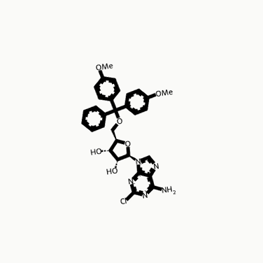 COc1ccc(C(OC[C@H]2O[C@@H](n3cnc4c(N)nc(Cl)nc43)[C@H](O)[C@@H]2O)(c2ccccc2)c2ccc(OC)cc2)cc1